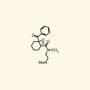 CNCCN(C)C(=O)C1CCCCC1(O)C(=O)c1ccccc1